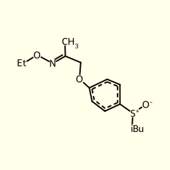 CCON=C(C)COc1ccc([S+]([O-])C(C)CC)cc1